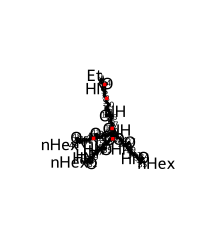 CC/C=C/C(=O)NCCCCCCNC(=O)CCCC(=O)NC(COCCC(=O)NCCCNC(=O)CCCCCC)(COCCC(=O)NCCCNC(=O)CCCCCC)COCCC(=O)NCCCNC(=O)CCCCCC